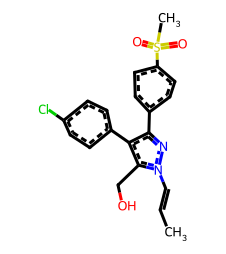 CC=Cn1nc(-c2ccc(S(C)(=O)=O)cc2)c(-c2ccc(Cl)cc2)c1CO